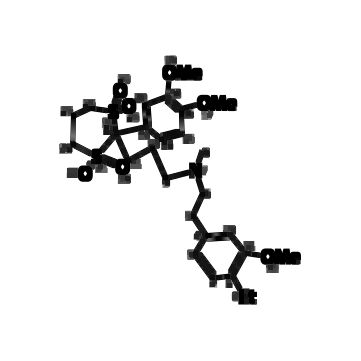 CCc1ccc(CCN(C)CCCC2(c3ccc(OC)c(OC)c3)S(=O)(=O)CCCS2(=O)=O)cc1OC